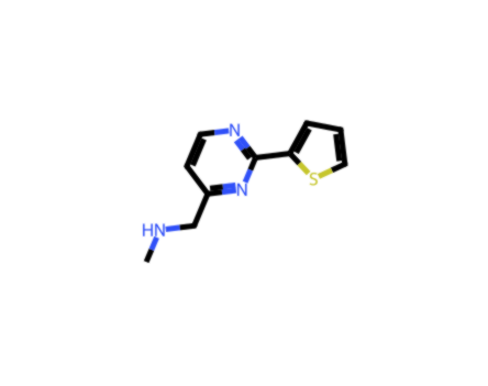 CNCc1ccnc(-c2cccs2)n1